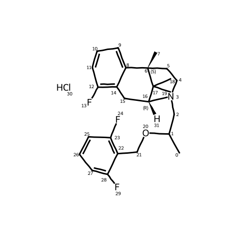 CC(CN1CC[C@@]2(C)c3cccc(F)c3C[C@@H]1C2(C)C)OCc1c(F)cccc1F.Cl